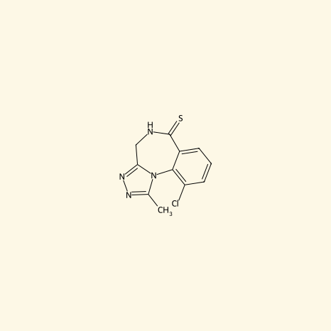 Cc1nnc2n1-c1c(Cl)cccc1C(=S)NC2